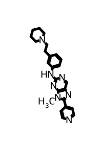 Cn1c(-c2ccncc2)nc2cnc(Nc3cccc(CCN4CCCCC4)c3)nc21